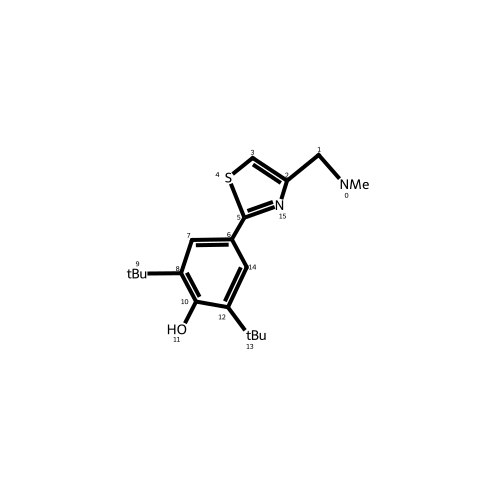 CNCc1csc(-c2cc(C(C)(C)C)c(O)c(C(C)(C)C)c2)n1